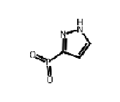 O=P(=O)c1cc[nH]n1